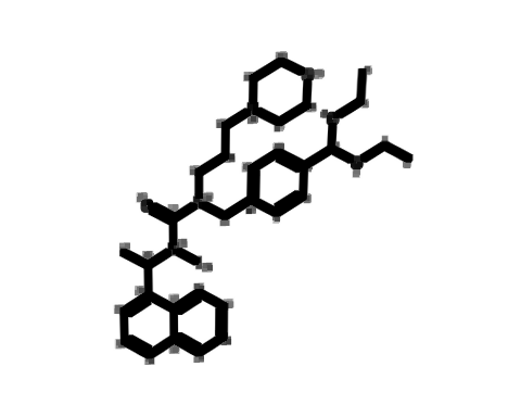 CCOC(OCC)c1ccc(CN(CCCN2CCOCC2)C(=O)N(I)C(C)c2cccc3ccccc23)cc1